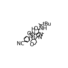 C[C@H](NC(=O)c1c(NS(=O)(=O)c2ccc(C#N)cc2)c(C2CCOCC2)nn1C)C(C)(C)C